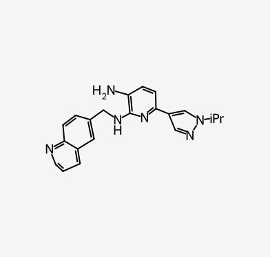 CC(C)n1cc(-c2ccc(N)c(NCc3ccc4ncccc4c3)n2)cn1